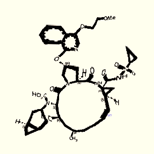 COCCOc1cnc(O[C@@H]2C[C@H]3C(=O)N[C@]4(C(=O)NS(=O)(=O)C5CC5)C[C@H]4/C=C\CC[C@@H](C)C[C@@H](C)[C@H](N(C(=O)O)C4CC5C[C@H]5C4)C(=O)N3C2)c2ccccc12